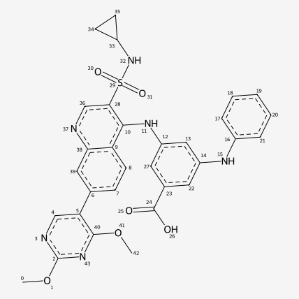 COc1ncc(-c2ccc3c(Nc4cc(Nc5ccccc5)cc(C(=O)O)c4)c(S(=O)(=O)NC4CC4)cnc3c2)c(OC)n1